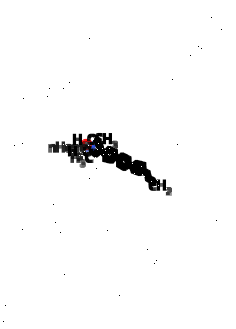 C=CCCc1ccc(C2CCC(C3CCC(C4CC(C)(C)N(OCCCCCCC)C(C)(C)C4)CC3)CC2)cc1